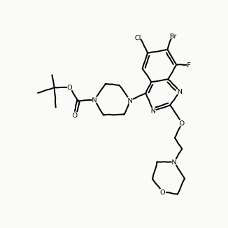 CC(C)(C)OC(=O)N1CCN(c2nc(OCCN3CCOCC3)nc3c(F)c(Br)c(Cl)cc23)CC1